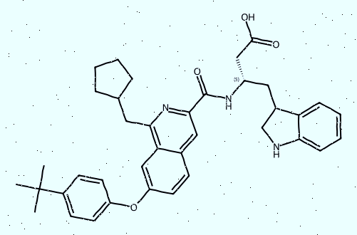 CC(C)(C)c1ccc(Oc2ccc3cc(C(=O)N[C@H](CC(=O)O)CC4CNc5ccccc54)nc(CC4CCCC4)c3c2)cc1